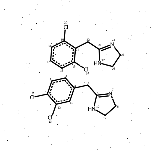 Clc1ccc(CC2=NCCN2)cc1Cl.Clc1cccc(Cl)c1CC1=NCCN1